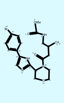 COC(=O)NCC(C)CC(=O)N1CCOCC1c1ncc(-c2ccc(Br)cc2)[nH]1